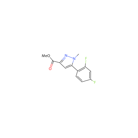 COC(=O)c1cc(-c2ccc(F)cc2F)n(C)n1